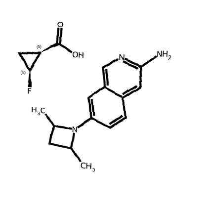 CC1CC(C)N1c1ccc2cc(N)ncc2c1.O=C(O)[C@@H]1C[C@@H]1F